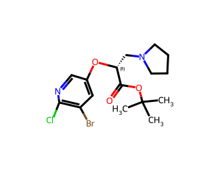 CC(C)(C)OC(=O)[C@@H](CN1CCCC1)Oc1cnc(Cl)c(Br)c1